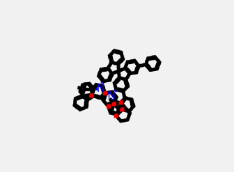 CC1CC2CCCC(C1)C2c1ccc(N(c2ccccc2)c2ccc3c(c2)C2(c4ccccc4-3)c3ccc(-c4ccccc4)cc3-c3cc(-c4ccccc4)c(N(c4ccccc4)c4ccc5c(c4)-c4ccccc4C5(C)C)cc32)cc1